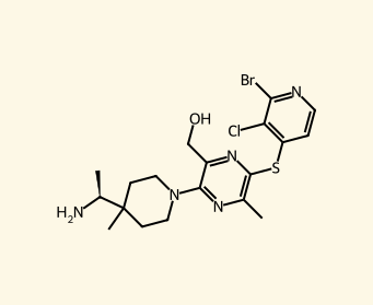 Cc1nc(N2CCC(C)([C@H](C)N)CC2)c(CO)nc1Sc1ccnc(Br)c1Cl